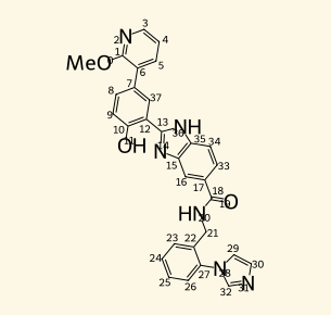 COc1ncccc1-c1ccc(O)c(-c2nc3cc(C(=O)NCc4ccccc4-n4ccnc4)ccc3[nH]2)c1